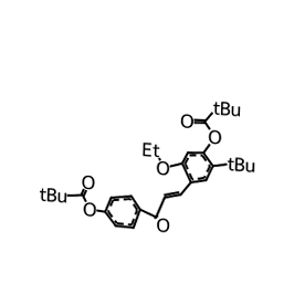 CCOc1cc(OC(=O)C(C)(C)C)c(C(C)(C)C)cc1/C=C/C(=O)c1ccc(OC(=O)C(C)(C)C)cc1